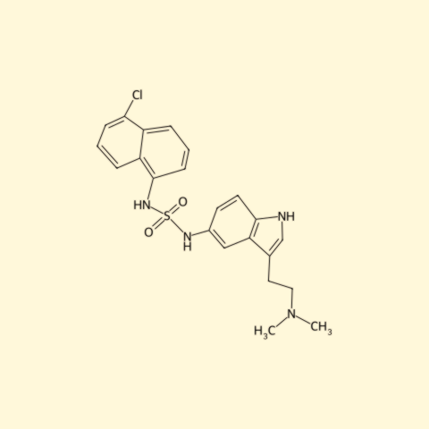 CN(C)CCc1c[nH]c2ccc(NS(=O)(=O)Nc3cccc4c(Cl)cccc34)cc12